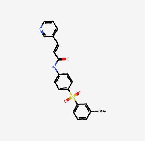 COc1cccc(S(=O)(=O)c2ccc(NC(=O)C=Cc3cccnc3)cc2)c1